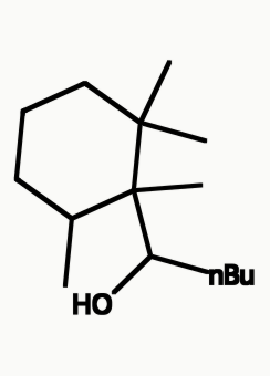 CCCCC(O)C1(C)C(C)CCCC1(C)C